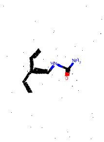 C=CC(C=C)=CNC(N)=O